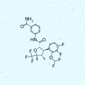 C[C@@H]1[C@H](c2ccc(F)c(F)c2OC(F)F)[C@@H](C(=O)Nc2cccc(C(N)=O)c2)O[C@@]1(C)C(F)(F)F